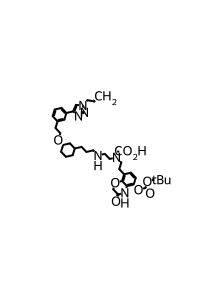 C=CCn1cc(-c2cccc(CCOC3CCCC(CCCNCCN(CCc4ccc(OC(=O)OC(C)(C)C)c5c4OCC(=O)N5)C(=O)O)C3)c2)nn1